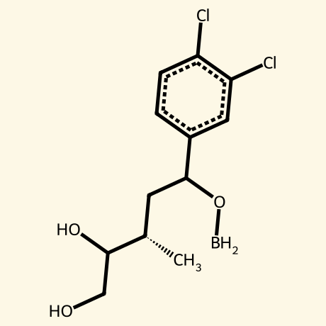 BOC(C[C@H](C)C(O)CO)c1ccc(Cl)c(Cl)c1